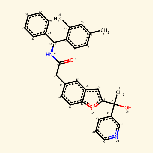 Cc1ccc([C@@H](NC(=O)Cc2ccc3oc(C(C)(O)c4cccnc4)cc3c2)c2ccccc2)c(C)c1